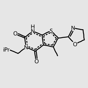 Cc1c(C2=NCCO2)sc2[nH]c(=O)n(CC(C)C)c(=O)c12